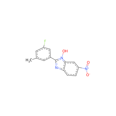 Cc1cc(F)cc(-c2nc3ccc([N+](=O)[O-])cc3n2O)c1